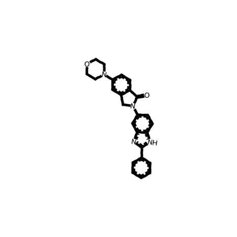 O=C1c2ccc(N3CCOCC3)cc2CN1c1ccc2[nH]c(-c3ccccc3)nc2c1